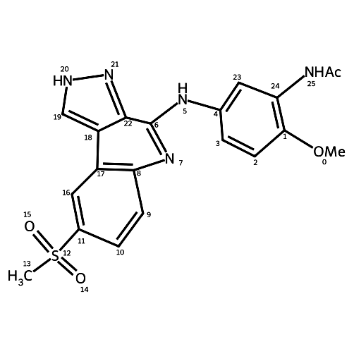 COc1ccc(Nc2nc3ccc(S(C)(=O)=O)cc3c3c[nH]nc23)cc1NC(C)=O